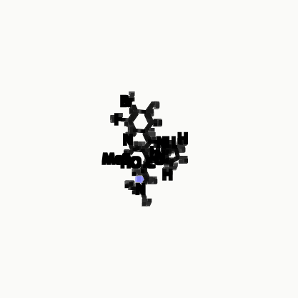 CSc1nc2c(F)c(Br)c(C)cc2c(N[C@H]2[C@@H]3C[C@H]2N(C(=O)O)C3)c1C(=O)/C=C/N(C)C